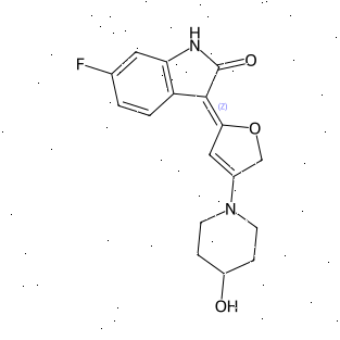 O=C1Nc2cc(F)ccc2/C1=C1\C=C(N2CCC(O)CC2)CO1